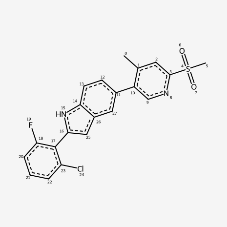 Cc1cc(S(C)(=O)=O)ncc1-c1ccc2[nH]c(-c3c(F)cccc3Cl)cc2c1